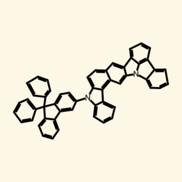 c1ccc(C2(c3ccccc3)c3ccccc3-c3cc(-n4c5ccccc5c5c6cc7c(cc6ccc54)c4cccc5c6ccccc6n7c54)ccc32)cc1